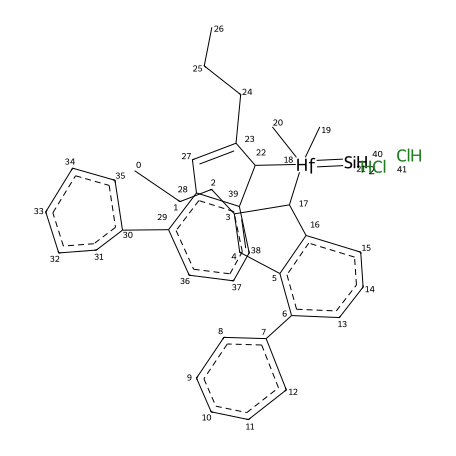 CCCC1=Cc2c(-c3ccccc3)cccc2[CH]1[Hf]([CH3])([CH3])(=[SiH2])[CH]1C(CCC)=Cc2c(-c3ccccc3)cccc21.Cl.Cl